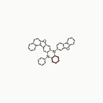 c1ccc(N(c2ccc3c(c2)oc2ccccc23)c2cc3oc4ccc5ccccc5c4c3cc2N(c2ccccc2)c2ccccc2)cc1